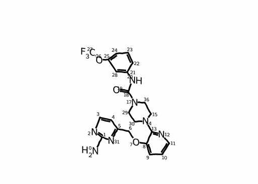 Nc1nccc(COc2cccnc2N2CCN(C(=O)Nc3cccc(OC(F)(F)F)c3)CC2)n1